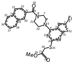 CCc1cc2c(N3CCN(C(=O)c4ccc5ccccc5c4)CC3)nc(SCC(=O)OC)nc2s1